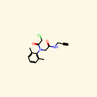 C#CCNC(=O)CN(C(=O)CCl)c1c(C)cccc1C